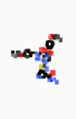 NC(=O)c1cncc2sc(N3CCN(S(=O)(=O)c4ccc(OC(F)(F)F)cc4)[C@@H](C(=O)NCc4ccc(OC(F)(F)F)cc4)C3)nc12